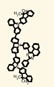 CC1(C)c2ccccc2-c2ccc(-n3c4ccccc4c4cc(-c5ccc6c7ccc(-c8ccc9c(c8)c8ccccc8n9-c8ccc9c(c8)C(C)(C)c8ccccc8-9)cc7n(-c7cccc(-c8nc(-c9ccccc9)nc9ccc%10ccccc%10c89)c7)c6c5)ccc43)cc21